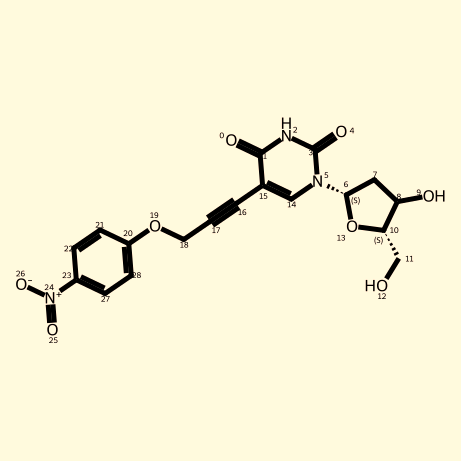 O=c1[nH]c(=O)n([C@@H]2CC(O)[C@H](CO)O2)cc1C#CCOc1ccc([N+](=O)[O-])cc1